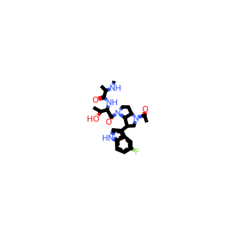 CNC(C)C(=O)NC(C(=O)N1CCC2C1C(c1c[nH]c3ccc(F)cc13)CN2C(C)=O)C(C)O